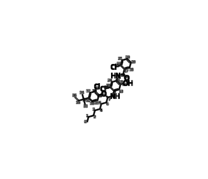 CCCCCCCC(Nc1cc(O)c(NC(=O)c2ccccc2Cl)cc1Cl)Oc1ccc(C(C)(C)CC)cc1Cl